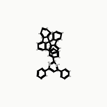 c1ccc(-c2cc(-c3ccccc3)nc(-c3cccc(-c4cccc5c4C4(c6ccccc6-c6ccccc64)c4ccccc4-5)c3)n2)cc1